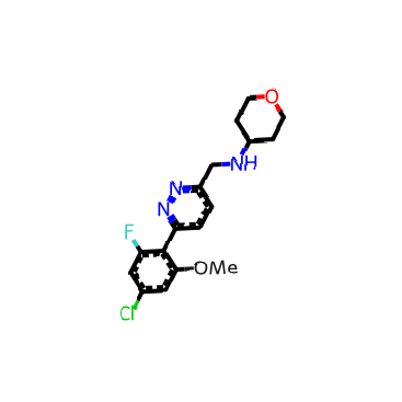 COc1cc(Cl)cc(F)c1-c1ccc(CNC2CCOCC2)nn1